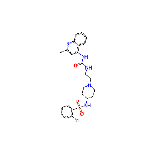 Cc1cc(NC(=O)NCCN2CCC(NS(=O)(=O)c3ccccc3Cl)CC2)c2ccccc2n1